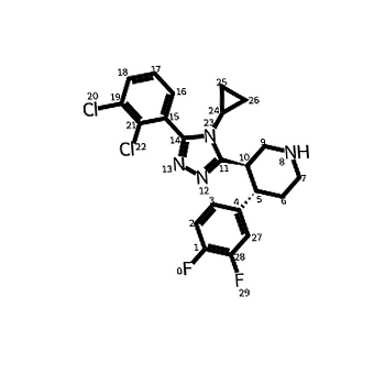 Fc1ccc([C@H]2CCNC[C@@H]2c2nnc(-c3cccc(Cl)c3Cl)n2C2CC2)cc1F